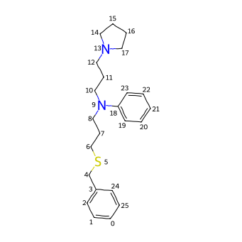 c1ccc(CSCCCN(CCCN2CCCC2)c2ccccc2)cc1